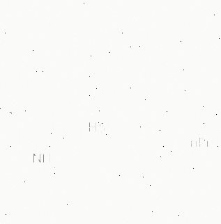 CCCC1=C[SH](c2ccccc2N)C=C1